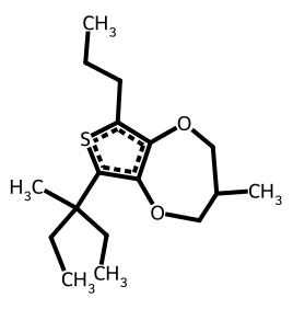 CCCc1sc(C(C)(CC)CC)c2c1OCC(C)CO2